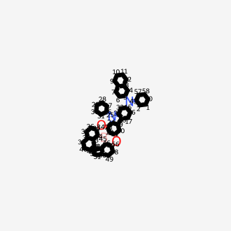 c1ccc(N(c2ccc3ccccc3c2)c2ccc3c4cc5c6c(c4n(-c4ccccc4)c3c2)Oc2ccc3ccccc3c2B6c2c(ccc3ccccc23)O5)cc1